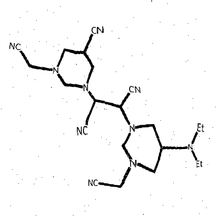 CCN(CC)C1CN(CC#N)CN(C(C#N)C(C#N)N2CC(C#N)CN(CC#N)C2)C1